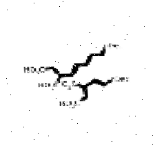 CCCCCCCCCCC=CC(CC(=O)O)C(=O)O.CCCCCCCCCCCCCC=CC(CC(=O)O)C(=O)O